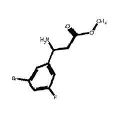 COC(=O)CC(N)c1cc(F)cc(Br)c1